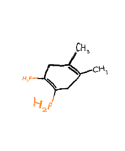 CC1=C(C)CC(P)=C(P)C1